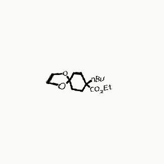 CCCCC1(C(=O)OCC)CCC2(CC1)OCCO2